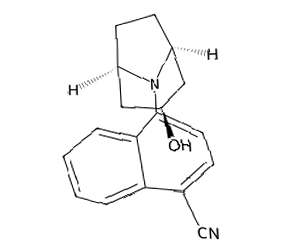 N#Cc1ccc(N2[C@@H]3CC[C@H]2C[C@@H](O)C3)c2ccccc12